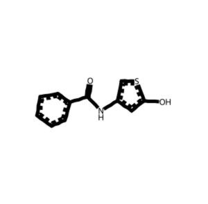 O=C(Nc1csc(O)c1)c1ccccc1